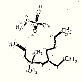 C=CC[N+](C)(C)CC(CC)CCCC.COS(=O)(=O)[O-]